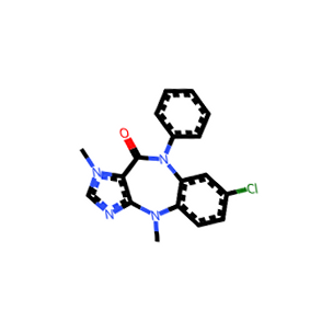 CN1c2ccc(Cl)cc2N(c2ccccc2)C(=O)c2c1ncn2C